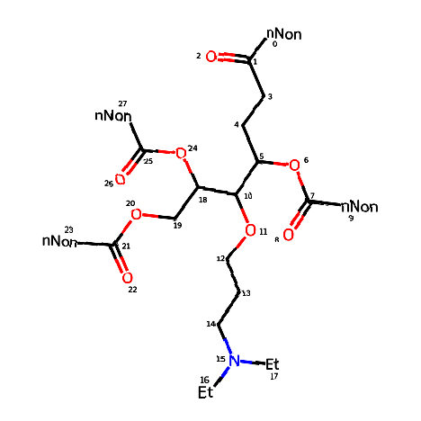 CCCCCCCCCC(=O)CCC(OC(=O)CCCCCCCCC)C(OCCCN(CC)CC)C(COC(=O)CCCCCCCCC)OC(=O)CCCCCCCCC